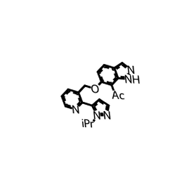 CC(=O)c1c(OCc2cccnc2-c2ccnn2C(C)C)ccc2cn[nH]c12